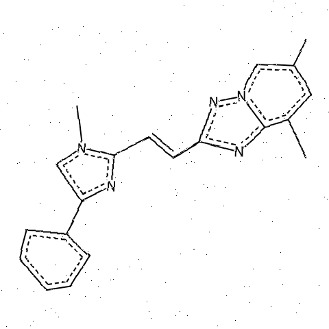 Cc1cc(C)c2nc(C=Cc3nc(-c4ccccc4)cn3C)nn2c1